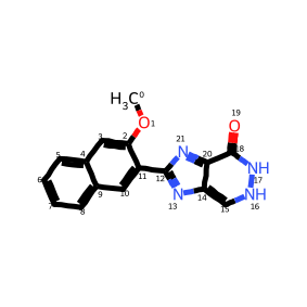 COc1cc2ccccc2cc1-c1nc2c[nH][nH]c(=O)c-2n1